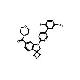 O=C(c1ccc2c(c1)N(c1ncc(-c3cc(C(F)(F)F)ccc3F)cn1)CC21COC1)N1CCOCC1